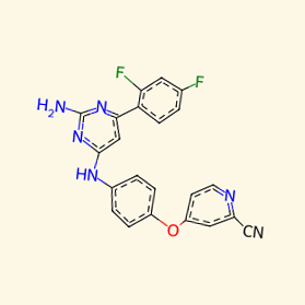 N#Cc1cc(Oc2ccc(Nc3cc(-c4ccc(F)cc4F)nc(N)n3)cc2)ccn1